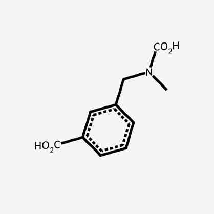 CN(Cc1cccc(C(=O)O)c1)C(=O)O